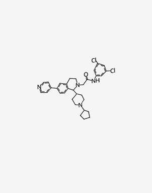 O=C(CN1CCc2cc(-c3ccncc3)ccc2C1C1CCN(C2CCCC2)CC1)Nc1cc(Cl)cc(Cl)c1